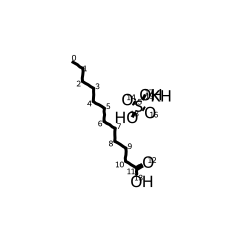 CCCCCCCCCCCC(=O)O.O=S(=O)(O)O.[KH]